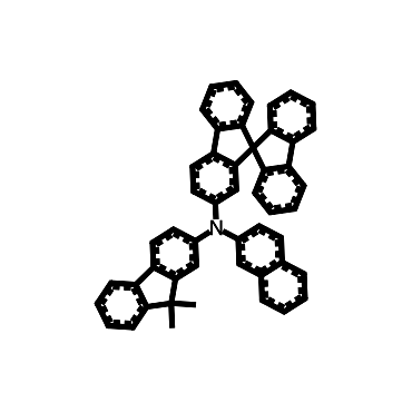 CC1(C)c2ccccc2-c2ccc(N(c3ccc4c(c3)C3(c5ccccc5-c5ccccc53)c3ccccc3-4)c3ccc4ccccc4c3)cc21